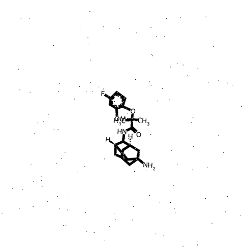 COc1cc(F)ccc1OC(C)(C)C(=O)NC1[C@@H]2CC3C[C@H]1CC(N)(C3)C2